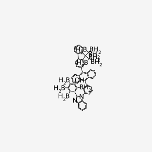 Bc1c(B)c(O)c(B)c(-c2nc3ccccc3n2-c2cccc(-c3c4ccccc4c(-c4ccc5c(c4)C(C(B)(B)B)(C(B)(B)B)c4ccccc4-5)c4ccccc34)c2)c1B